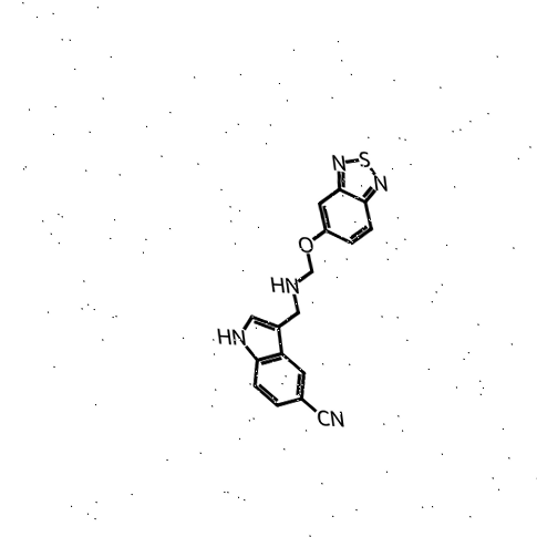 N#Cc1ccc2[nH]cc(CNCOc3ccc4nsnc4c3)c2c1